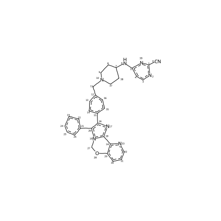 N#Cc1nccc(NC2CCN(Cc3ccc(-c4nc5n(c4-c4ccccc4)COc4cccnc4-5)cc3)CC2)n1